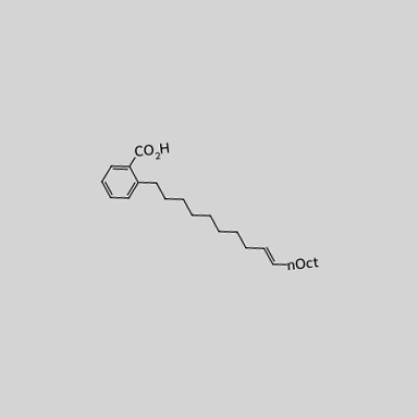 CCCCCCCCC=CCCCCCCCCc1ccccc1C(=O)O